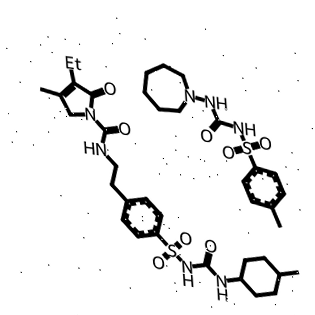 CCC1=C(C)CN(C(=O)NCCc2ccc(S(=O)(=O)NC(=O)NC3CCC(C)CC3)cc2)C1=O.Cc1ccc(S(=O)(=O)NC(=O)NN2CCCCCC2)cc1